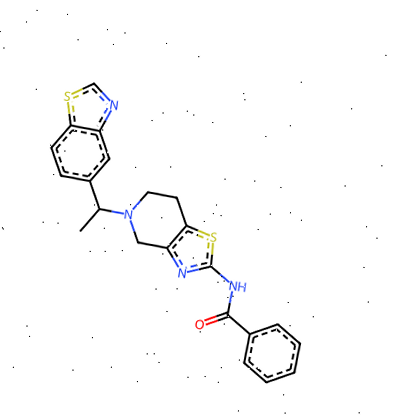 CC(c1ccc2scnc2c1)N1CCc2sc(NC(=O)c3ccccc3)nc2C1